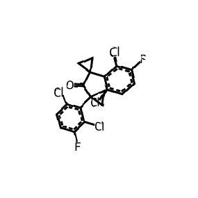 O=C(C1(c2c(Cl)ccc(F)c2Cl)CC1)C1(c2c(Cl)ccc(F)c2Cl)CC1